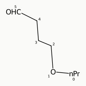 [CH2]CCOCCCC=O